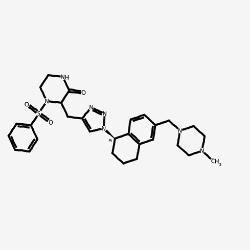 CN1CCN(Cc2ccc3c(c2)CCC[C@H]3n2cc(CC3C(=O)NCCN3S(=O)(=O)c3ccccc3)nn2)CC1